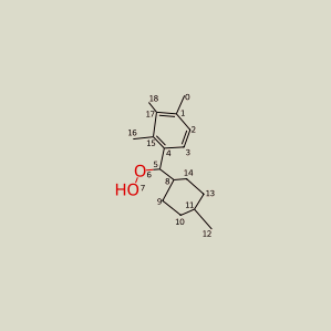 Cc1ccc(C(OO)C2CCC(C)CC2)c(C)c1C